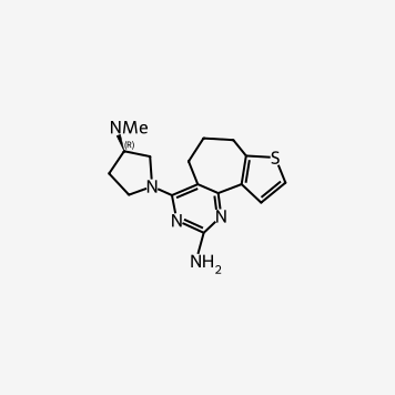 CN[C@@H]1CCN(c2nc(N)nc3c2CCCc2sccc2-3)C1